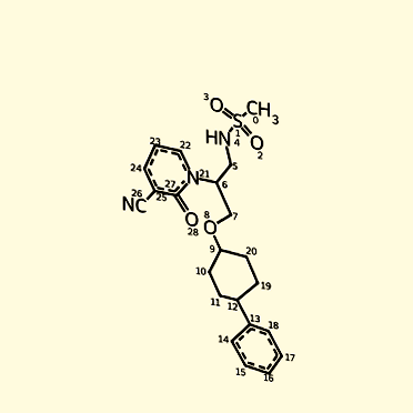 CS(=O)(=O)NCC(COC1CCC(c2ccccc2)CC1)n1cccc(C#N)c1=O